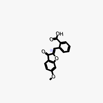 COc1ccc2c(c1)O/C(=C\c1ccccc1C(=O)O)C2=O